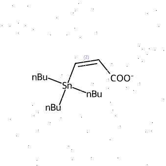 CCC[CH2][Sn](/[CH]=C\C(=O)[O-])([CH2]CCC)[CH2]CCC